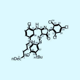 CCCCCCCCCCCCCCNc1ccc(Cl)c(NC2=NN(c3c(Cl)cc(Cl)cc3Cl)C(=O)C2N=Nc2ccc(O)c(C(C)(C)C)c2)c1